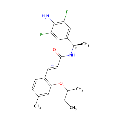 CCC(C)Oc1cc(C)ccc1/C=C/C(=O)N[C@H](C)c1cc(F)c(N)c(F)c1